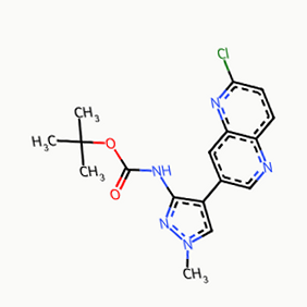 Cn1cc(-c2cnc3ccc(Cl)nc3c2)c(NC(=O)OC(C)(C)C)n1